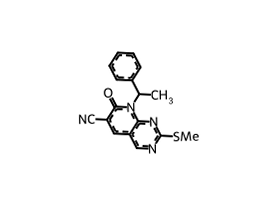 CSc1ncc2cc(C#N)c(=O)n(C(C)c3ccccc3)c2n1